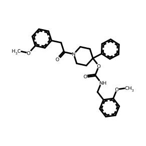 COc1cccc(CC(=O)N2CCC(OC(=O)NCc3ccccc3OC)(c3ccccc3)CC2)c1